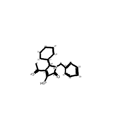 CC(=O)C1=C(O)C(=O)N(Cc2ccccc2)C1C1CCCCC1